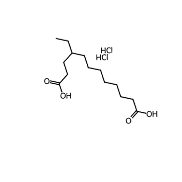 CCC(CCCCCCCC(=O)O)CCC(=O)O.Cl.Cl